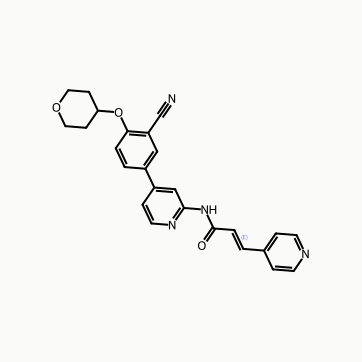 N#Cc1cc(-c2ccnc(NC(=O)/C=C/c3ccncc3)c2)ccc1OC1CCOCC1